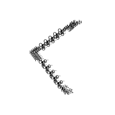 O=[Si]([O-])[O-].O=[Si]([O-])[O-].O=[Si]([O-])[O-].O=[Si]([O-])[O-].O=[Si]([O-])[O-].O=[Si]([O-])[O-].O=[Si]([O-])[O-].O=[Si]([O-])[O-].O=[Si]([O-])[O-].O=[Si]([O-])[O-].[Al+3].[Al+3].[Al+3].[Fe+3].[Fe+3].[Fe+3].[Mg+2].[Mg+2].[Mg+2].[Mn+2].[Mn+2].[Mn+2].[OH-].[OH-].[OH-].[OH-].[OH-].[OH-].[OH-].[OH-].[OH-].[OH-]